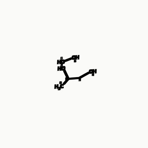 CC(O)CO.OO